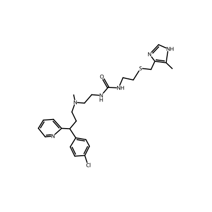 Cc1[nH]cnc1CSCCNC(=O)NCCN(C)CCC(c1ccc(Cl)cc1)c1ccccn1